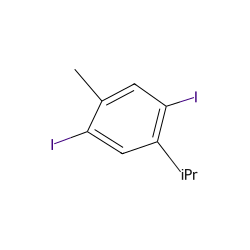 Cc1cc(I)c(C(C)C)cc1I